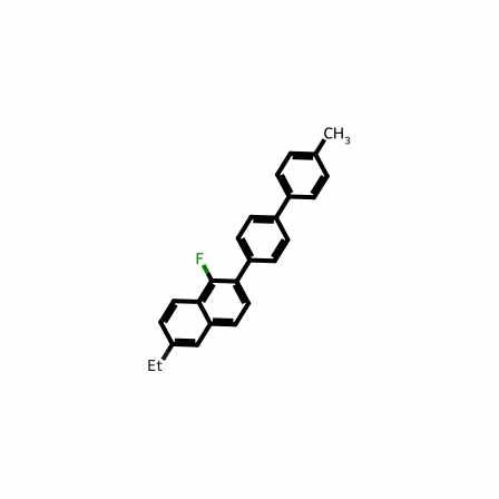 CCc1ccc2c(F)c(-c3ccc(-c4ccc(C)cc4)cc3)ccc2c1